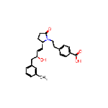 Cc1cccc(C[C@H](O)C=C[C@H]2CCC(=O)N2CCc2ccc(C(=O)O)cc2)c1